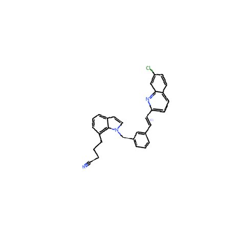 N#CCCCc1cccc2ccn(Cc3cccc(/C=C/c4ccc5ccc(Cl)cc5n4)c3)c12